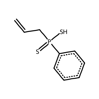 C=CCP(=S)(S)c1ccccc1